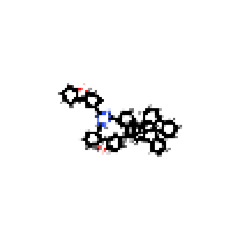 c1ccc(-c2nc(-c3ccc4oc5ccccc5c4c3)nc(-c3cccc4oc5ccc(-c6ccc(-c7cccc8c7C7(c9ccccc9-c9ccccc97)c7ccccc7-8)cc6)cc5c34)n2)cc1